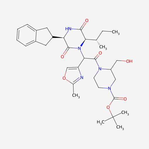 CC[C@H](C)[C@@H]1C(=O)N[C@H](C2Cc3ccccc3C2)C(=O)N1C(C(=O)N1CCN(C(=O)OC(C)(C)C)CC1CO)c1coc(C)n1